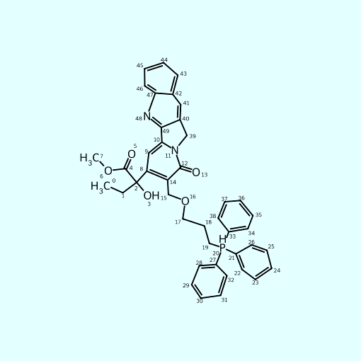 CCC(O)(C(=O)OC)c1cc2n(c(=O)c1COCCC[PH](c1ccccc1)(c1ccccc1)c1ccccc1)Cc1cc3ccccc3nc1-2